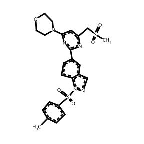 Cc1ccc(S(=O)(=O)n2ncc3cc(-c4nc(CS(C)(=O)=O)cc(N5CCOCC5)n4)ccc32)cc1